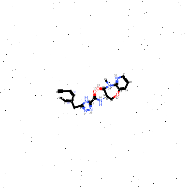 C#C/C=C\C(=C/C)Cc1nnc(C(=O)N[C@H]2COc3cccnc3N(C)C2=O)[nH]1